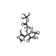 Cc1ncsc1[C@]1(CNC(=O)OC(C)(C)C)NC(=O)NC1=O